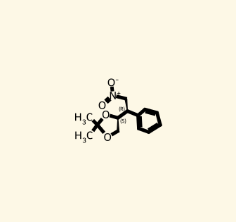 CC1(C)OC[C@H]([C@@H](C[N+](=O)[O-])c2ccccc2)O1